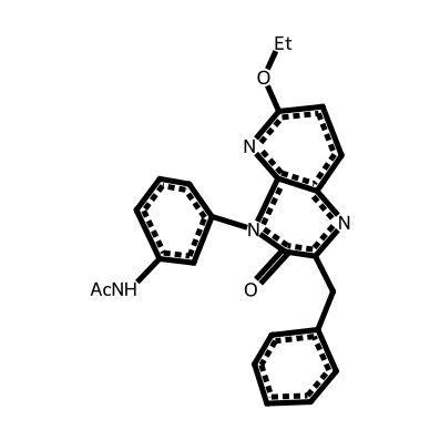 CCOc1ccc2nc(Cc3ccccc3)c(=O)n(-c3cccc(NC(C)=O)c3)c2n1